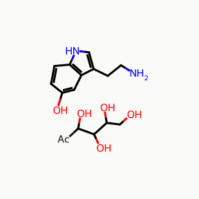 CC(=O)C(O)C(O)C(O)CO.NCCc1c[nH]c2ccc(O)cc12